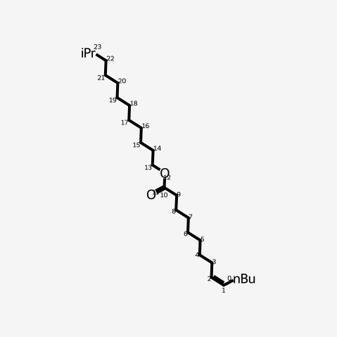 CCCC/C=C\CCCCCCCC(=O)OCCCCCCCCCCC(C)C